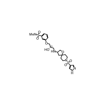 CNS(=O)(=O)c1cccc(OC[C@@H](O)CNC2COC3(CCN(S(=O)(=O)c4cn[nH]c4)CC3)C2)c1